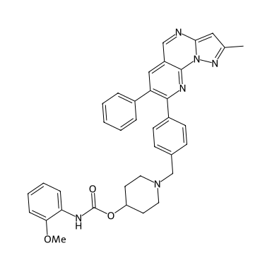 COc1ccccc1NC(=O)OC1CCN(Cc2ccc(-c3nc4c(cnc5cc(C)nn54)cc3-c3ccccc3)cc2)CC1